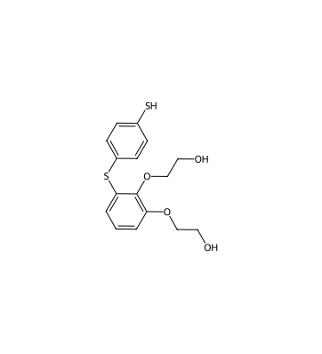 OCCOc1cccc(Sc2ccc(S)cc2)c1OCCO